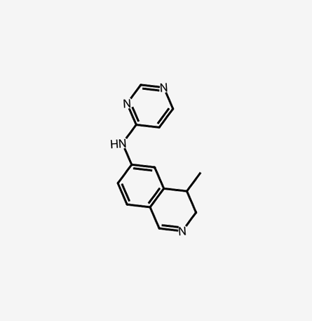 CC1CN=Cc2ccc(Nc3ccncn3)cc21